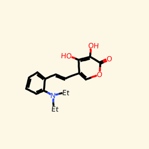 CCN(CC)c1ccccc1/C=C/c1coc(=O)c(O)c1O